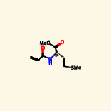 C=CC(=O)N[C@@H](CCSC)C(=O)OC